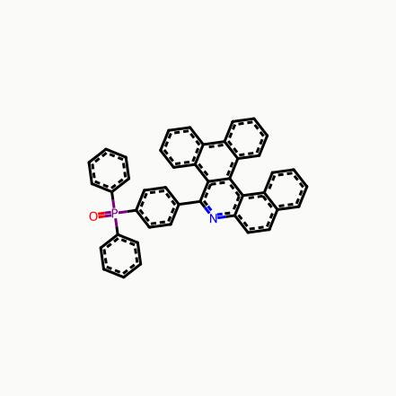 O=P(c1ccccc1)(c1ccccc1)c1ccc(-c2nc3ccc4ccccc4c3c3c4ccccc4c4ccccc4c23)cc1